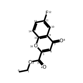 CCOC(=O)c1cc(=O)c2cc(F)ccc2o1